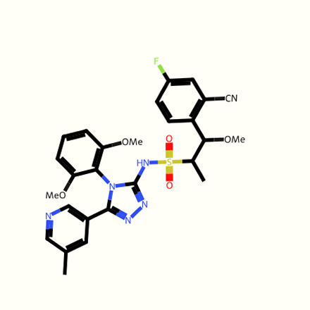 COc1cccc(OC)c1-n1c(NS(=O)(=O)C(C)C(OC)c2ccc(F)cc2C#N)nnc1-c1cncc(C)c1